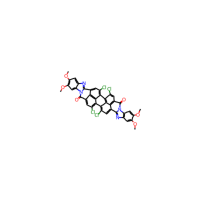 COc1cc2nc3c4cc(Cl)c5c6c(Cl)cc7c(=O)n8c9cc(OC)c(OC)cc9nc8c8cc(Cl)c(c9c(Cl)cc(c(=O)n3c2cc1OC)c4c95)c6c78